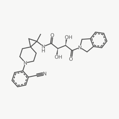 CC1(NC(=O)[C@H](O)[C@@H](O)C(=O)N2Cc3ccccc3C2)CC12CCN(c1ccccc1C#N)CC2